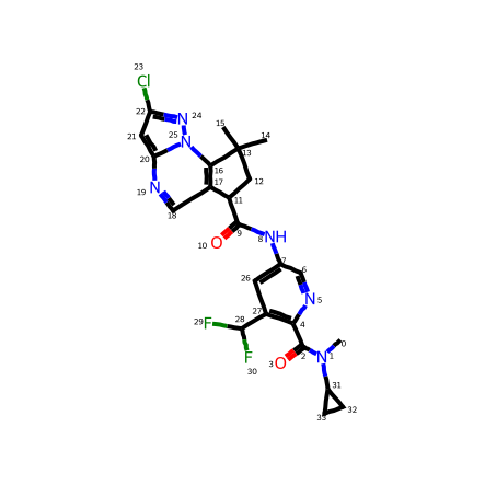 CN(C(=O)c1ncc(NC(=O)C2CC(C)(C)c3c2cnc2cc(Cl)nn32)cc1C(F)F)C1CC1